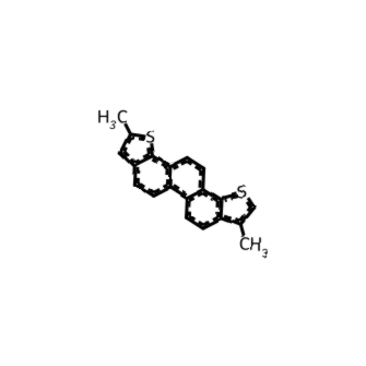 Cc1cc2ccc3c4ccc5c(C)csc5c4ccc3c2s1